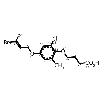 Cc1cc(OCC=C(Br)Br)cc(Cl)c1OCCCC(=O)O